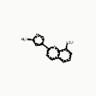 Cc1cc(-c2ccc3cccc(C(=O)O)c3n2)no1